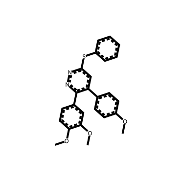 COc1ccc(-c2cc(Sc3ccccc3)nnc2-c2ccc(OC)c(OC)c2)cc1